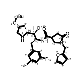 CCCCO[C@H]1CN[C@@H]([C@@H](O)[C@H](Cc2cc(F)cc(F)c2)NC(=O)C2CC(=O)N(Cc3ccco3)C2)C1